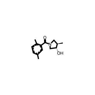 Cc1ccc(C)c(C(=O)N2C[C@@H](C)[C@H](O)C2)c1